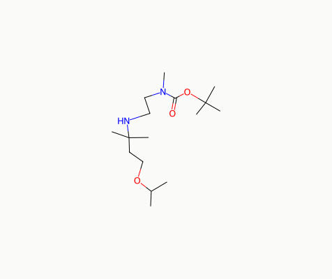 CC(C)OCCC(C)(C)NCCN(C)C(=O)OC(C)(C)C